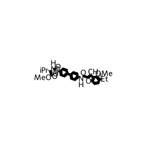 CCc1ccc2oc(C(=O)Nc3ccc(-c4ccc(S(=O)(=O)N[C@H](C(=O)OC)C(C)C)cc4)cc3)c(C)c2c1OC